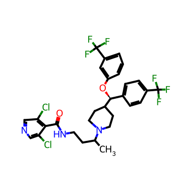 CC(CCNC(=O)c1c(Cl)cncc1Cl)N1CCC([C@@H](Oc2cccc(C(F)(F)F)c2)c2ccc(C(F)(F)F)cc2)CC1